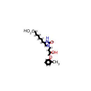 Cc1ccccc1OCC(O)CCN1CC(CCCCCCC(=O)O)NC1=O